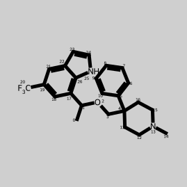 CC(OCC1(c2ccccc2)CCN(C)CC1)c1cc(C(F)(F)F)cc2cc[nH]c12